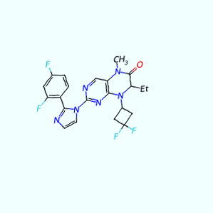 CCC1C(=O)N(C)c2cnc(-n3ccnc3-c3ccc(F)cc3F)nc2N1C1CC(F)(F)C1